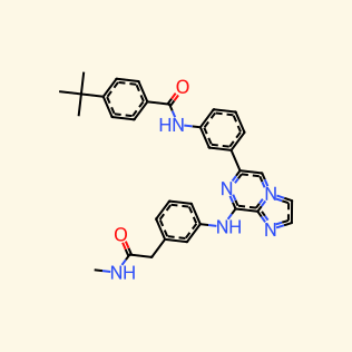 CNC(=O)Cc1cccc(Nc2nc(-c3cccc(NC(=O)c4ccc(C(C)(C)C)cc4)c3)cn3ccnc23)c1